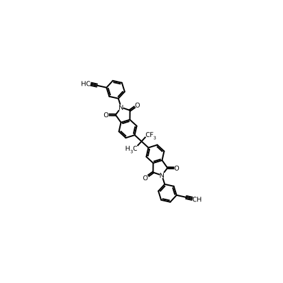 C#Cc1cccc(N2C(=O)c3ccc(C(C)(c4ccc5c(c4)C(=O)N(c4cccc(C#C)c4)C5=O)C(F)(F)F)cc3C2=O)c1